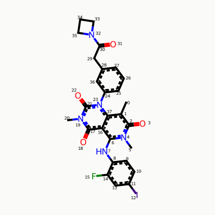 Cc1c(=O)n(C)c(Nc2ccc(I)cc2F)c2c(=O)n(C)c(=O)n(-c3cccc(CC(=O)N4CCC4)c3)c12